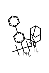 CC(C)(C)C(P)(c1ccc(-c2ccccc2)cc1C1(P)C2CC3CC(C2)CC1(P)C3)C(C)(C)C